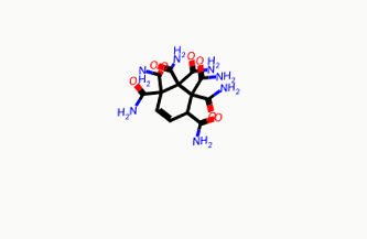 NC(=O)C1C=CC(C(N)=O)(C(N)=O)C(C(N)=O)(C(N)=O)C1(C(N)=O)C(N)=O